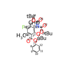 CCCCOc1c(C(=O)Oc2ccccc2)c(C)c(F)c(C=O)c1N(C(=O)OC(C)(C)C)C(=O)OC(C)(C)C